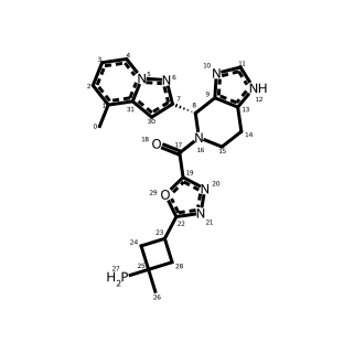 Cc1cccn2nc([C@@H]3c4nc[nH]c4CCN3C(=O)c3nnc(C4CC(C)(P)C4)o3)cc12